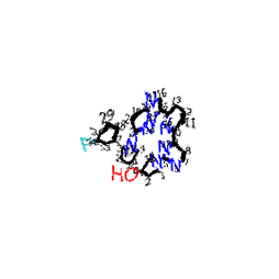 O[C@@H]1CCN(c2nccc(-c3cccc(-c4cnc5ccc(N6CCC[C@@H]6c6cccc(F)c6)nn45)n3)n2)C1